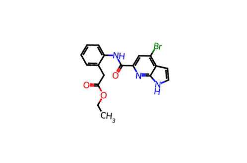 CCOC(=O)Cc1ccccc1NC(=O)c1cc(Br)c2cc[nH]c2n1